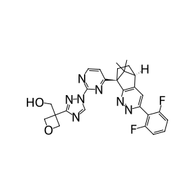 CC1(C)[C@H]2CC[C@@]1(c1ccnc(-n3cnc(C4(CO)COC4)n3)n1)c1nnc(-c3c(F)cccc3F)cc12